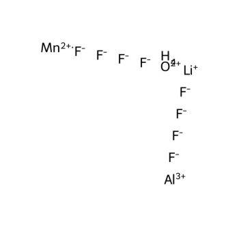 [Al+3].[F-].[F-].[F-].[F-].[F-].[F-].[F-].[F-].[Li+].[Mn+2].[OH4+2]